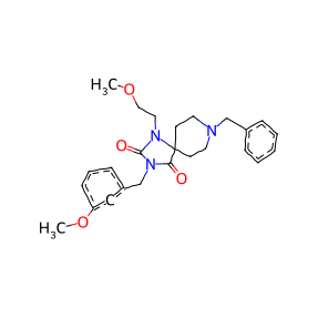 COCCN1C(=O)N(Cc2cccc(OC)c2)C(=O)C12CCN(Cc1ccccc1)CC2